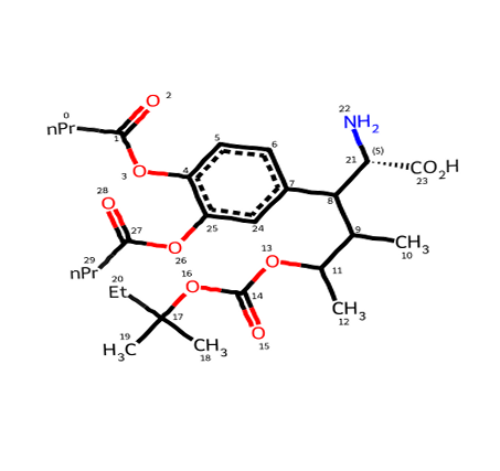 CCCC(=O)Oc1ccc(C(C(C)C(C)OC(=O)OC(C)(C)CC)[C@H](N)C(=O)O)cc1OC(=O)CCC